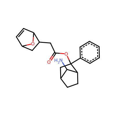 NC1C2CCC1C(OC(=O)CC1CC3C=CC1O3)(c1ccccc1)C2